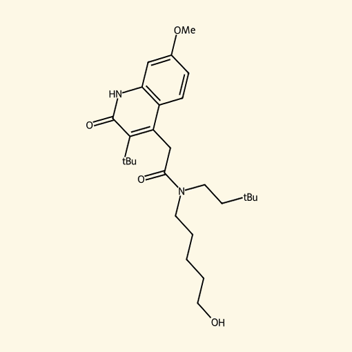 COc1ccc2c(CC(=O)N(CCCCCO)CCC(C)(C)C)c(C(C)(C)C)c(=O)[nH]c2c1